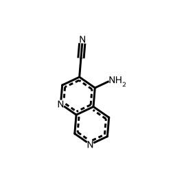 N#Cc1cnc2cnccc2c1N